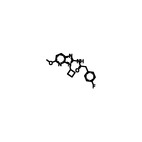 COc1ccc2nc(NC(=O)Cc3ccc(F)cc3)n(C3CCC3)c2n1